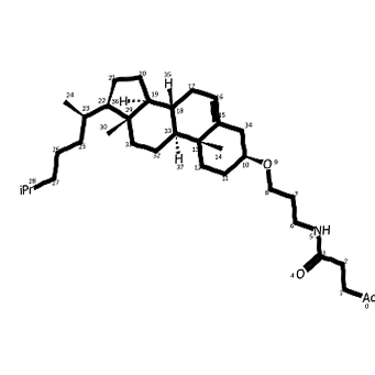 CC(=O)CCC(=O)NCCCO[C@H]1CC[C@@]2(C)C(=CC[C@H]3[C@@H]4CC[C@H]([C@H](C)CCCC(C)C)[C@@]4(C)CC[C@@H]32)C1